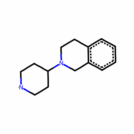 c1ccc2c(c1)CCN(C1CC[N]CC1)C2